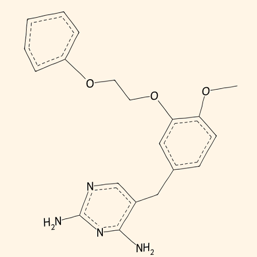 COc1ccc(Cc2cnc(N)nc2N)cc1OCCOc1ccccc1